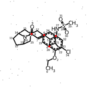 CCOc1cc(C=CC(=O)N2C3CCC2CN(Cc2ccc(F)cc2)C3)c(NS(C)(=O)=O)cc1Cl